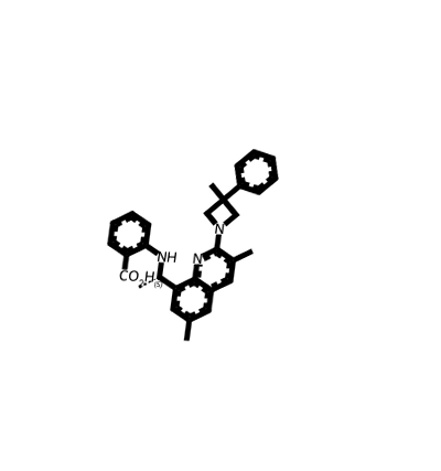 Cc1cc([C@H](C)Nc2ccccc2C(=O)O)c2nc(N3CC(C)(c4ccccc4)C3)c(C)cc2c1